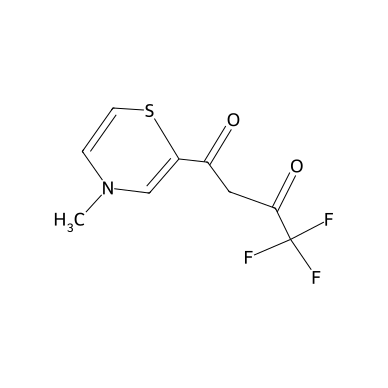 CN1C=CSC(C(=O)CC(=O)C(F)(F)F)=C1